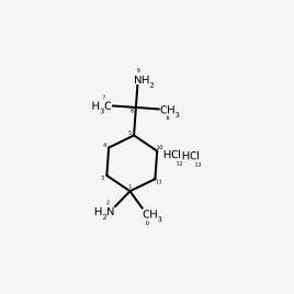 CC1(N)CCC(C(C)(C)N)CC1.Cl.Cl